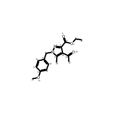 CCOC(=O)c1nn(Cc2ccc(OC)cc2)c(C)c1C(C)=O